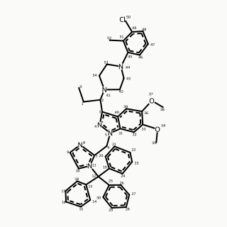 CCC(c1nn(Cc2nccn2C(c2ccccc2)(c2ccccc2)c2ccccc2)c2cc(OC)c(OC)cc12)N1CCN(c2cccc(Cl)c2C)CC1